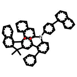 CC1(C)c2cc(-c3c(-c4ccccc4)cccc3N(c3ccc(-c4cccc5ccccc45)cc3)c3ccc4ccccc4c3)ccc2-c2c1ccc1ccccc21